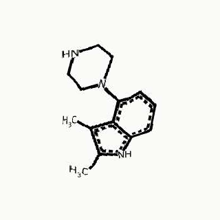 Cc1[nH]c2cccc(N3CCNCC3)c2c1C